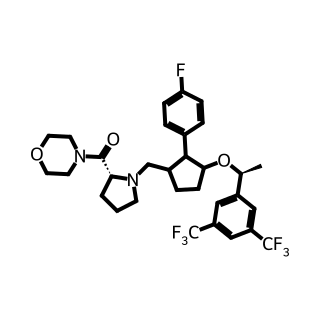 C[C@H](OC1CCC(CN2CCC[C@@H]2C(=O)N2CCOCC2)C1c1ccc(F)cc1)c1cc(C(F)(F)F)cc(C(F)(F)F)c1